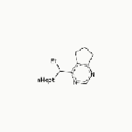 CCCCCCCC(CC)c1ncnc2c1CCC2